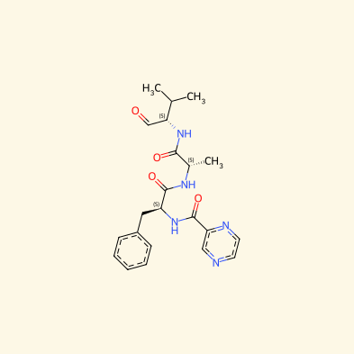 CC(C)[C@@H](C=O)NC(=O)[C@H](C)NC(=O)[C@H](Cc1ccccc1)NC(=O)c1cnccn1